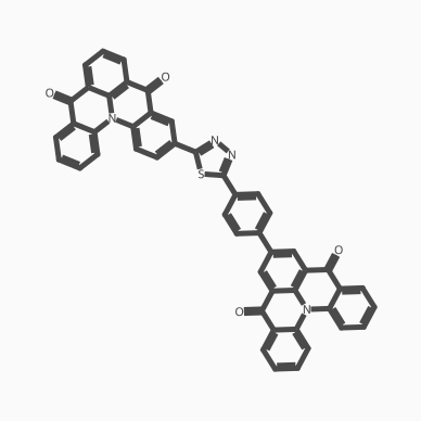 O=c1c2ccccc2n2c3ccc(-c4nnc(-c5ccc(-c6cc7c(=O)c8ccccc8n8c9ccccc9c(=O)c(c6)c78)cc5)s4)cc3c(=O)c3cccc1c32